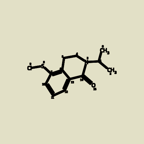 CC(C)N1CCc2c(SCl)cccc2C1=O